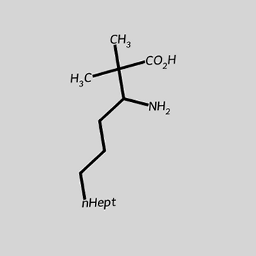 CCCCCCCCCCC(N)C(C)(C)C(=O)O